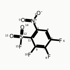 O=[N+]([O-])c1cc(F)c(F)c(F)c1S(=O)(=O)F